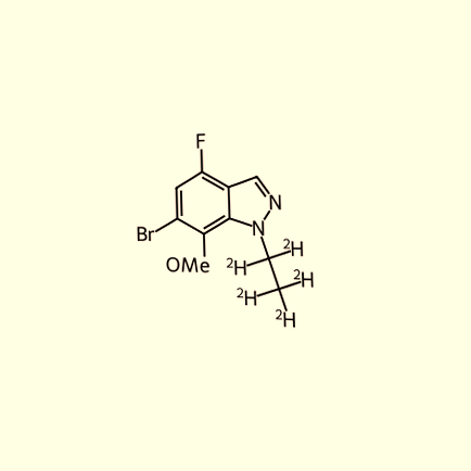 [2H]C([2H])([2H])C([2H])([2H])n1ncc2c(F)cc(Br)c(OC)c21